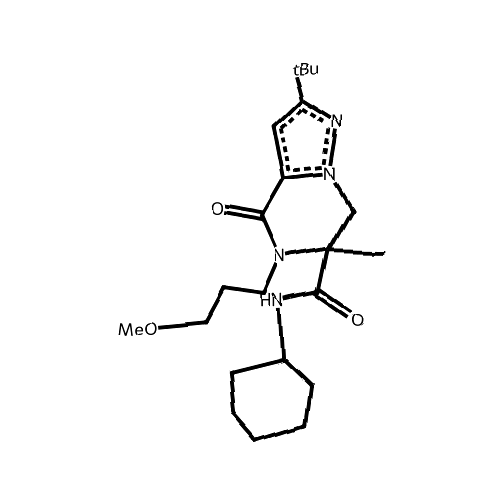 COCCCN1C(=O)c2cc(C(C)(C)C)nn2CC1(C)C(=O)NC1CCCCC1